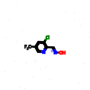 O/N=C/c1ncc(C(F)(F)F)cc1Cl